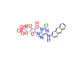 O=P(O)(O)CC[C@H]1O[C@@H](n2cnc3c(Nc4ccc5cc6ccccc6cc5c4)nc(Cl)nc32)[C@@H](O)C1O